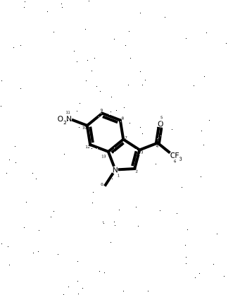 Cn1cc(C(=O)C(F)(F)F)c2ccc([N+](=O)[O-])cc21